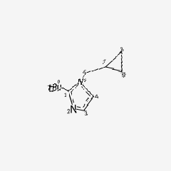 CC(C)(C)c1nccn1CC1CC1